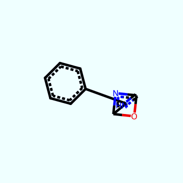 c1ccc(-c2[nH]c3nc2O3)cc1